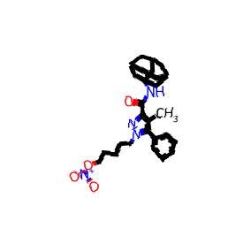 Cc1c(C(=O)NC23CC4CC(CC(C4)C2)C3)nn(CCCCCO[N+](=O)[O-])c1-c1ccccc1